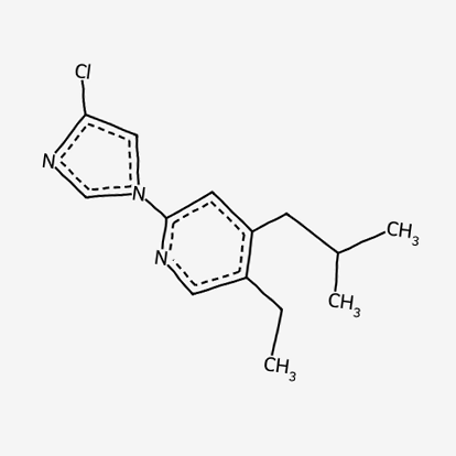 CCc1cnc(-n2cnc(Cl)c2)cc1CC(C)C